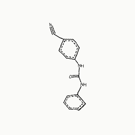 N#Cc1ccc(NC(=O)Nc2ccccc2)cc1